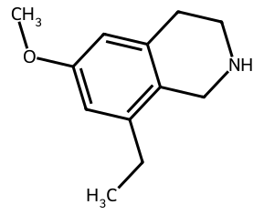 CCc1cc(OC)cc2c1CNCC2